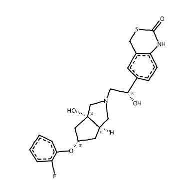 O=C1Nc2ccc([C@H](O)CN3C[C@H]4C[C@H](Oc5ccccc5F)C[C@@]4(O)C3)cc2CS1